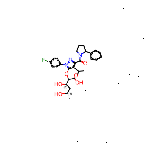 CC(C)c1c(C(=O)N2CCCC2c2ccccc2)nn(-c2ccc(F)cc2)c1OC(C(=O)O)[C@H](O)C[C@H](C)O